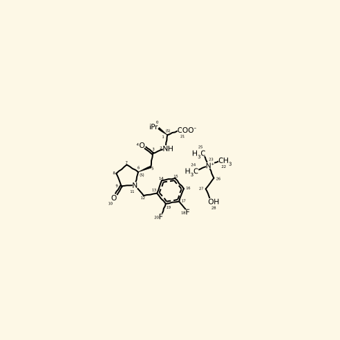 CC(C)[C@H](NC(=O)C[C@@H]1CCC(=O)N1Cc1cccc(F)c1F)C(=O)[O-].C[N+](C)(C)CCO